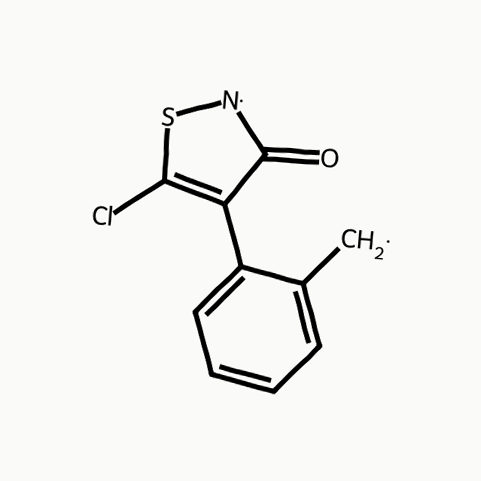 [CH2]c1ccccc1C1=C(Cl)S[N]C1=O